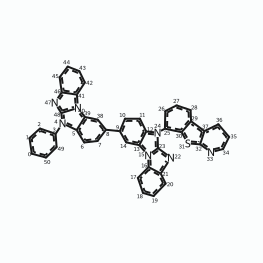 c1ccc(-n2c3ccc(-c4ccc5c(c4)n4c6ccccc6nc4n5-c4cccc5c4sc4ncccc45)cc3n3c4ccccc4nc23)cc1